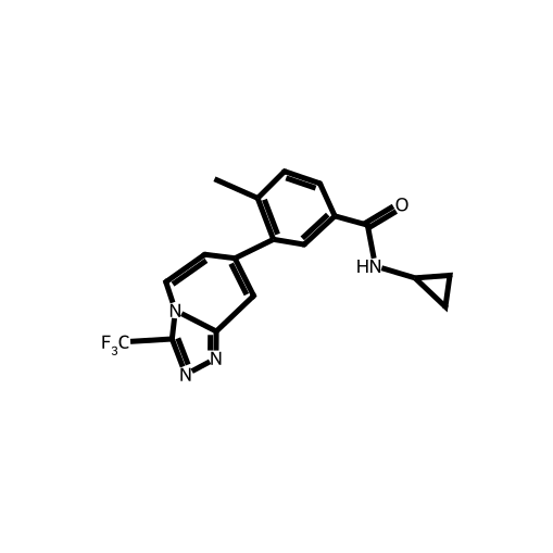 Cc1ccc(C(=O)NC2CC2)cc1-c1ccn2c(C(F)(F)F)nnc2c1